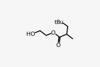 CC(CC(C)(C)C)C(=O)OCCO